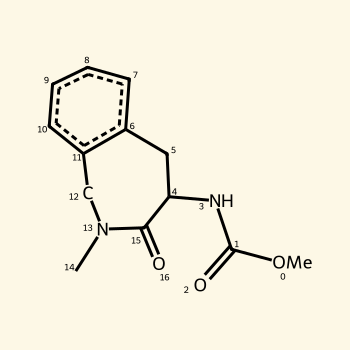 COC(=O)NC1Cc2ccccc2CN(C)C1=O